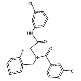 O=C(CN(Cc1ccccc1F)C(=O)c1ccnc(Cl)c1)Nc1cccc(Cl)c1